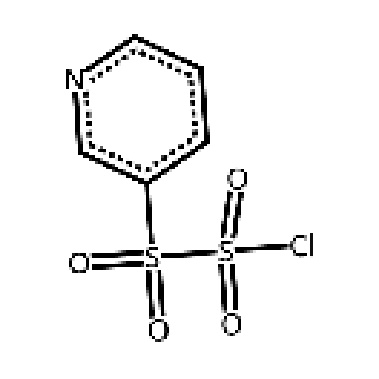 O=S(=O)(Cl)S(=O)(=O)c1cccnc1